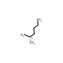 [CH2][CH][CH][CH][C@H]([CH2])N